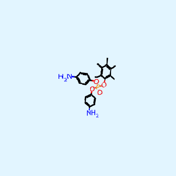 Cc1c(C)c(C)c(OP(=O)(Oc2ccc(N)cc2)Oc2ccc(N)cc2)c(C)c1C